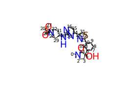 CN1CCC(O)(c2cccc(-c3nc(-c4ccnc(NC5CCN(S(C)(=O)=O)CC5)n4)cs3)c2)C1=O